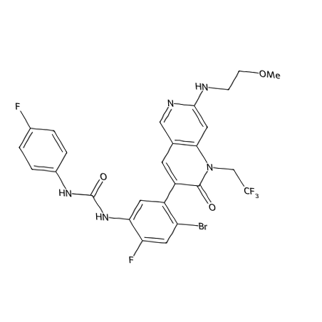 COCCNc1cc2c(cn1)cc(-c1cc(NC(=O)Nc3ccc(F)cc3)c(F)cc1Br)c(=O)n2CC(F)(F)F